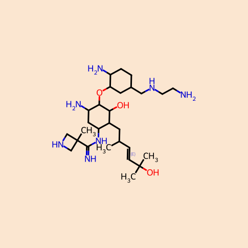 CC(/C=C/C(C)(C)O)CC1C(NC(=N)C2(C)CNC2)CC(N)C(OC2CC(CNCCN)CCC2N)C1O